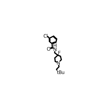 CC(C)(C)CCN1CCC(F)(CNC(=O)c2cccc(Cl)c2)CC1